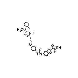 COC(=O)[C@H](Cc1ccccc1)NC(=O)CCCOc1ccc(CC(=O)Nc2ccc3sc(C(=O)NO)cc3c2)cc1